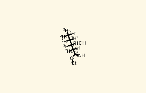 Cl.[2H]C([2H])([2H])C([2H])([2H])C([2H])([2H])C([2H])([2H])C(=N)OCC